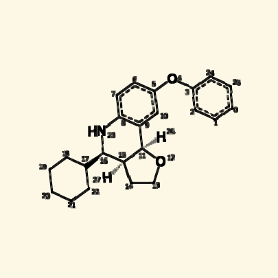 c1ccc(Oc2ccc3c(c2)[C@H]2OCC[C@H]2[C@@H](C2CCCCC2)N3)cc1